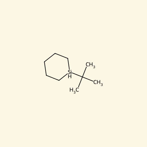 CC(C)(C)[SiH]1CCCCC1